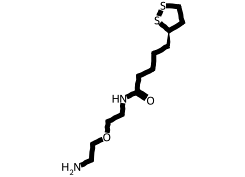 NCCOCCNC(=O)CCCC[C@@H]1CCSS1